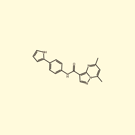 Cc1cc(C)n2ncc(C(=O)Nc3ccc(-c4ccc[nH]4)cc3)c2n1